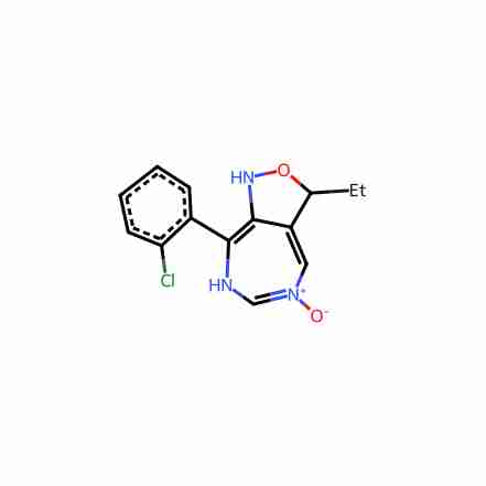 CCC1ONC2=C(c3ccccc3Cl)NC=[N+]([O-])C=C21